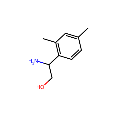 Cc1ccc(C(N)CO)c(C)c1